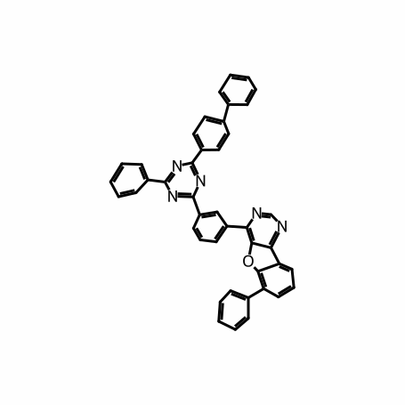 c1ccc(-c2ccc(-c3nc(-c4ccccc4)nc(-c4cccc(-c5ncnc6c5oc5c(-c7ccccc7)cccc56)c4)n3)cc2)cc1